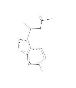 CC(CC(=O)O)c1noc2cc(F)ccc12